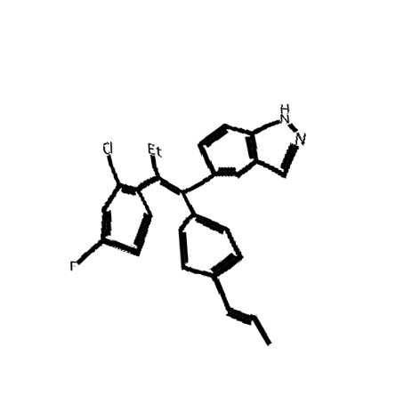 C/C=C/c1ccc(/C(=C(/CC)c2ccc(F)cc2Cl)c2ccc3[nH]ncc3c2)cc1